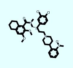 COc1cc2c(c(C(=O)N(C)C[C@@H](CCN3CCC(c4ccccc4[S+](C)[O-])CC3)c3ccc(Cl)c(Cl)c3)c1OC)CCCC2